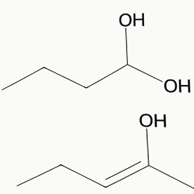 CCC=C(C)O.CCCC(O)O